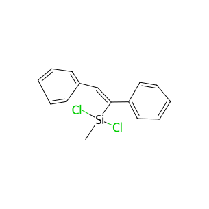 C[Si](Cl)(Cl)C(=Cc1ccccc1)c1ccccc1